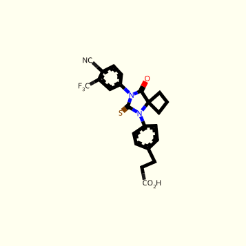 N#Cc1ccc(N2C(=O)C3(CCC3)N(c3ccc(CCC(=O)O)cc3)C2=S)cc1C(F)(F)F